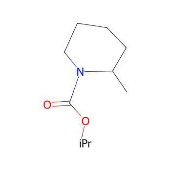 CC(C)OC(=O)N1CCCCC1C